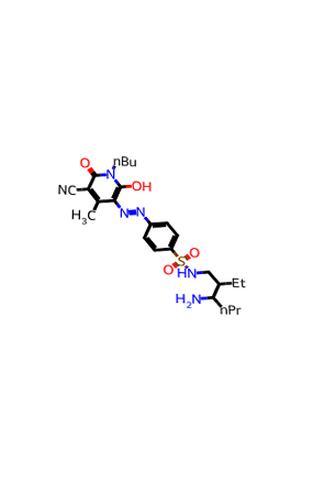 CCCCn1c(O)c(/N=N/c2ccc(S(=O)(=O)NCC(CC)C(N)CCC)cc2)c(C)c(C#N)c1=O